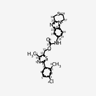 Cc1cc(Cl)ccc1-c1nc(C)c(COC(=O)Nc2ccc3c(c2)nc2n3CCSC2)s1